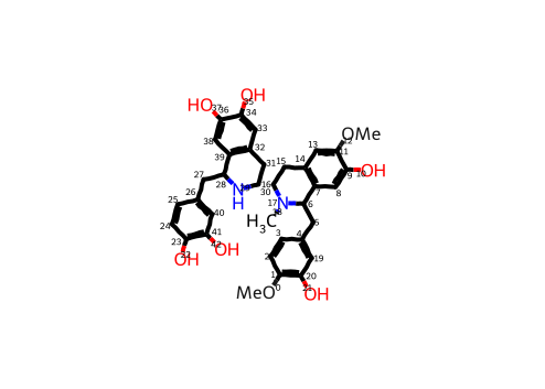 COc1ccc(CC2c3cc(O)c(OC)cc3CCN2C)cc1O.Oc1ccc(CC2NCCc3cc(O)c(O)cc32)cc1O